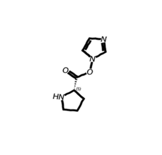 O=C(On1ccnc1)[C@@H]1CCCN1